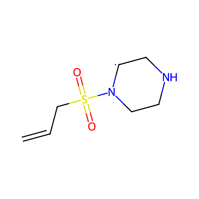 C=CCS(=O)(=O)N1[CH]CNCC1